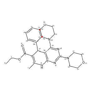 CCOC(=O)C1=C(C)Nc2nc(N3CCOCC3)nc(N3CCOCC3)c2C1c1cccnc1